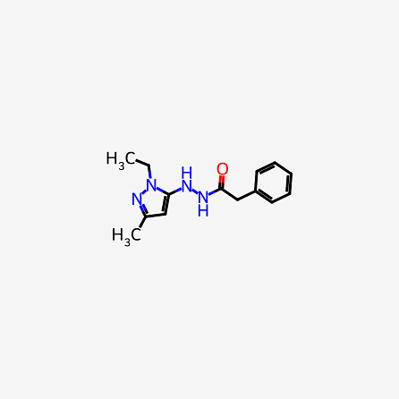 CCn1nc(C)cc1NNC(=O)Cc1ccccc1